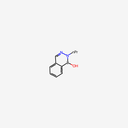 CCCN1N=Cc2ccccc2B1O